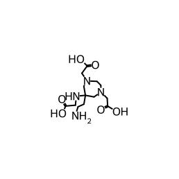 NCCC1(NCC(=O)O)CN(CC(=O)O)CCN(CC(=O)O)C1